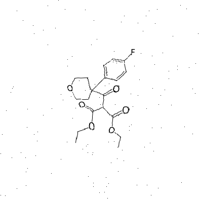 CCOC(=O)C(C(=O)OCC)C(=O)C1(c2ccc(F)cc2)CCOCC1